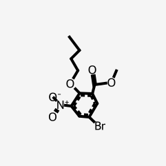 CCCCOc1c(C(=O)OC)cc(Br)cc1[N+](=O)[O-]